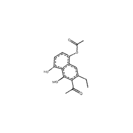 CCc1cc2c(OC(C)=O)ccc(O)c2c(O)c1C(C)=O